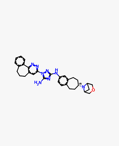 Nc1nc(Nc2ccc3c(c2)CC[C@H](N2C4COCC2C4)CC3)nn1-c1cc2c(nn1)-c1ccccc1CCC2